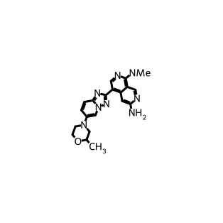 CNc1ncc(-c2nc3ccc(N4CCOC(C)C4)cn3n2)c2cc(N)ncc12